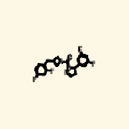 O=C(N1CC(Cc2ccc(F)cc2F)C1)N1N=CCC1c1cc(F)cc(F)c1